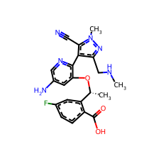 CNCc1nn(C)c(C#N)c1-c1ncc(N)cc1O[C@H](C)c1cc(F)ccc1C(=O)O